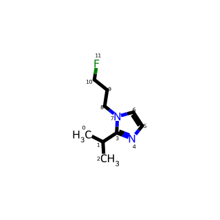 CC(C)c1nccn1CCCF